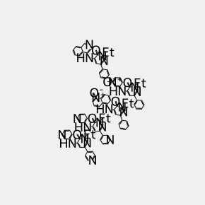 CCn1nc(-c2ccccc2)cc(Nc2ccc[n+]([O-])c2)c1=O.CCn1nc(-c2ccccc2)cc(Nc2cccc3c2ccc[n+]3[O-])c1=O.CCn1nc(-c2ccccc2)cc(Nc2cncc3ccccc23)c1=O.CCn1nc(-c2cccnc2)cc(Nc2cccnc2)c1=O.CCn1nc(-c2ccncc2)cc(Nc2cccnc2)c1=O